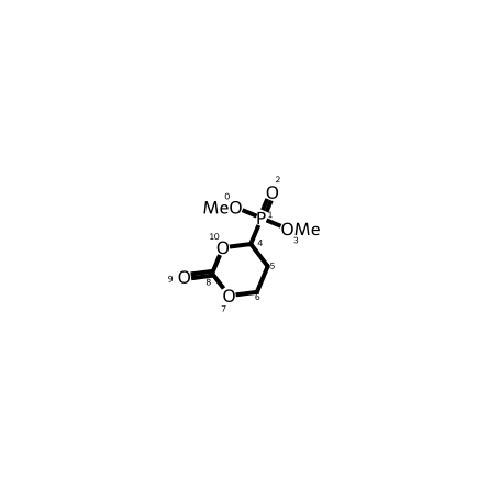 COP(=O)(OC)C1CCOC(=O)O1